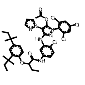 CCC(Oc1ccc(C(C)(C)CC)cc1C(C)(C)CC)C(=O)Nc1ccc(Cl)c(Nc2nn(-c3c(Cl)cc(Cl)cc3Cl)c(OC(C)=O)c2-n2cccn2)c1